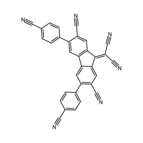 N#CC(C#N)=C1c2cc(C#N)c(-c3ccc(C#N)cc3)cc2-c2cc(-c3ccc(C#N)cc3)c(C#N)cc21